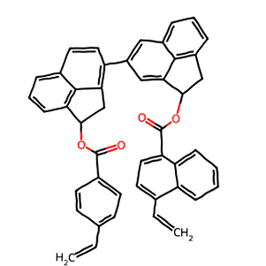 C=Cc1ccc(C(=O)OC2Cc3c(-c4cc5c6c(cccc6c4)CC5OC(=O)c4ccc(C=C)c5ccccc45)ccc4cccc2c34)cc1